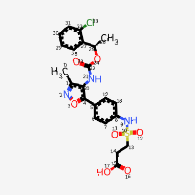 Cc1noc(-c2ccc(NS(=O)(=O)CCC(=O)O)cc2)c1NC(=O)O[C@H](C)c1ccccc1Cl